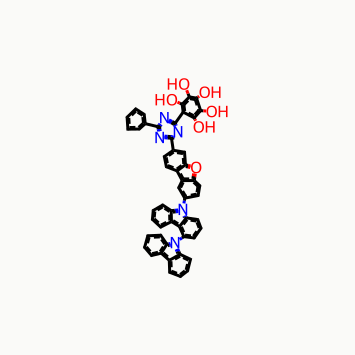 Oc1c(O)c(O)c(-c2nc(-c3ccccc3)nc(-c3ccc4c(c3)oc3ccc(-n5c6ccccc6c6c(-n7c8ccccc8c8ccccc87)cccc65)cc34)n2)c(O)c1O